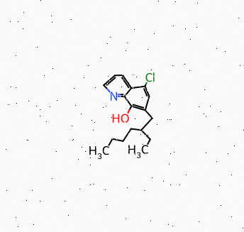 CCCCC(CC)Cc1cc(Cl)c2cccnc2c1O